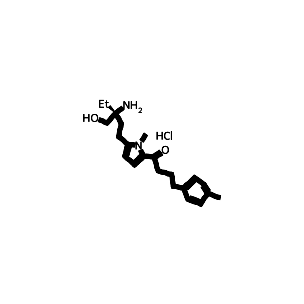 CC[C@](N)(CO)CCc1ccc(C(=O)CCCc2ccc(C)cc2)n1C.Cl